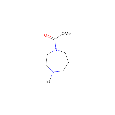 [CH2]CN1CCCN(C(=O)OC)CC1